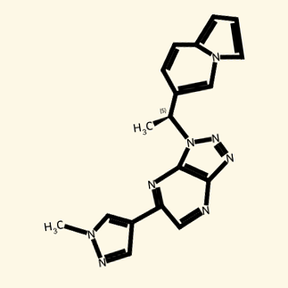 C[C@@H](c1ccc2cccn2c1)n1nnc2ncc(-c3cnn(C)c3)nc21